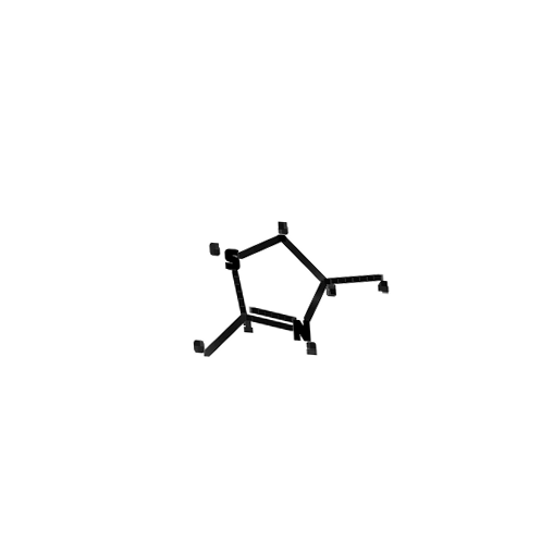 CC1=NC(C)CS1